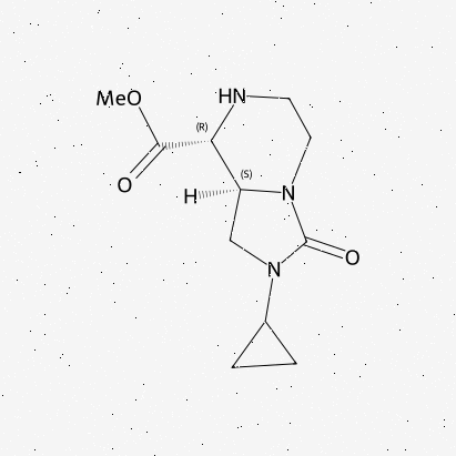 COC(=O)[C@@H]1NCCN2C(=O)N(C3CC3)C[C@@H]12